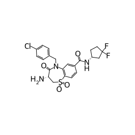 N[C@H]1CS(=O)(=O)c2ccc(C(=O)N[C@@H]3CCC(F)(F)C3)cc2N(Cc2ccc(Cl)cc2)C1=O